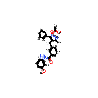 COc1cccc(NC(=O)c2cccc(Cc3c(C)nn(OC(C)=O)c3-c3ccccc3)c2)c1